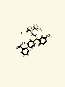 Cc1ccc(O)c([C@H](CCN(C(C)C)C(C)C)c2ccccc2)c1.O=C(O)c1ccccc1